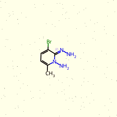 Cc1ccc(Br)/c(=N/N)n1N